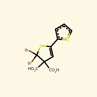 O=C(O)C1(C(=O)O)C=C(c2cccs2)SC1(Br)Br